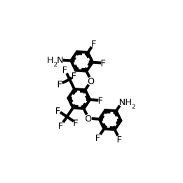 Nc1cc(F)c(F)c(Oc2c(C(F)(F)F)cc(C(F)(F)F)c(Oc3cc(N)cc(F)c3F)c2F)c1